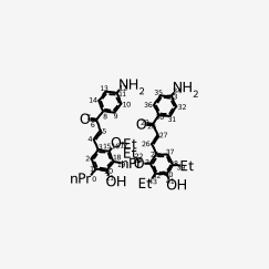 CCCc1cc(C=CC(=O)c2ccc(N)cc2)c(OCC)c(CCC)c1O.CCOc1c(C=CC(=O)c2ccc(N)cc2)cc(CC)c(O)c1CC